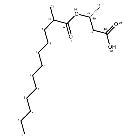 CCCCCCCCCCC(C)C(=O)O[C@H](C)CC(=O)O